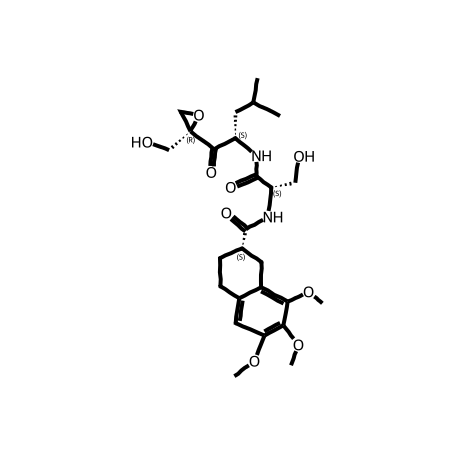 COc1cc2c(c(OC)c1OC)C[C@@H](C(=O)N[C@@H](CO)C(=O)N[C@@H](CC(C)C)C(=O)[C@@]1(CO)CO1)CC2